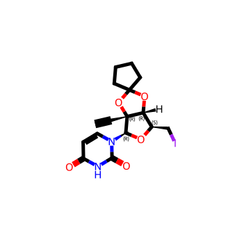 C#C[C@@]12OC3(CCCC3)O[C@@H]1[C@@H](CI)O[C@H]2n1ccc(=O)[nH]c1=O